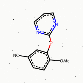 COc1ccc(C#N)cc1Oc1ncccn1